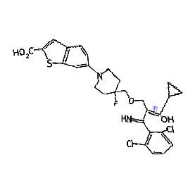 N=C(/C(COCC1(F)CCN(c2ccc3cc(C(=O)O)sc3c2)CC1)=C(\O)C1CC1)c1c(Cl)cccc1Cl